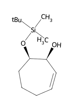 CC(C)(C)[Si](C)(C)O[C@@H]1CCCC=C[C@@H]1O